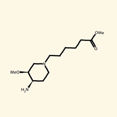 COC(=O)CCCCCN1CC[C@@H](N)[C@@H](OC)C1